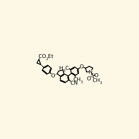 CCOC(=O)[C@H]1C[C@@H]1c1ccc(O[C@@H]2CCc3c2ccc(C#N)c3-c2c(C)cc(OC3CCN(S(C)(=O)=O)C3)cc2C)cc1